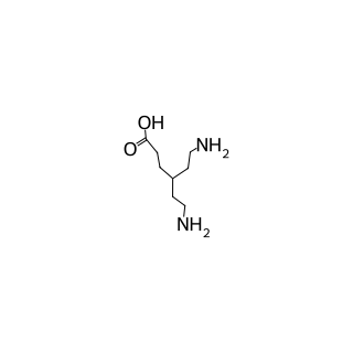 NCCC(CCN)CCC(=O)O